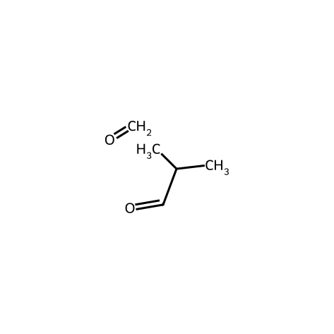 C=O.CC(C)C=O